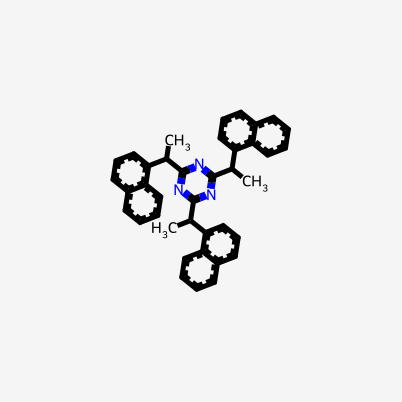 CC(c1nc(C(C)c2cccc3ccccc23)nc(C(C)c2cccc3ccccc23)n1)c1cccc2ccccc12